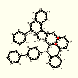 c1ccc(-c2ccc(N(c3ccccc3-c3ccccc3)c3cccc4c3oc3c(-c5ccccc5)cc5ccccc5c34)cc2)cc1